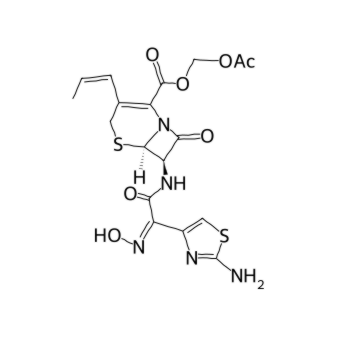 C/C=C\C1=C(C(=O)OCOC(C)=O)N2C(=O)[C@@H](NC(=O)/C(=N\O)c3csc(N)n3)[C@H]2SC1